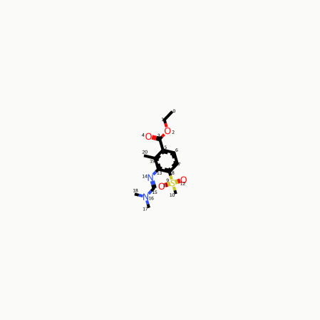 CCOC(=O)c1ccc(S(C)(=O)=O)c(N=CN(C)C)c1C